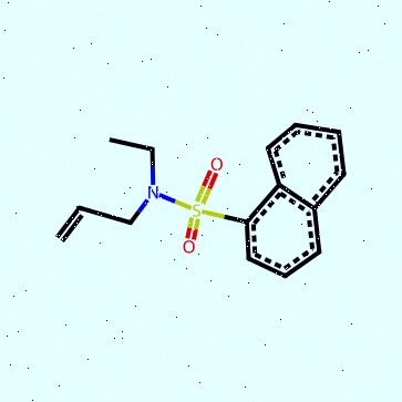 C=CCN(CC)S(=O)(=O)c1cccc2ccccc12